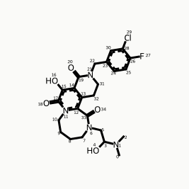 CN(C)C(O)CN1CCCCn2c(c3c(c(O)c2=O)C(=O)N(Cc2ccc(F)c(Cl)c2)CC3)C1=O